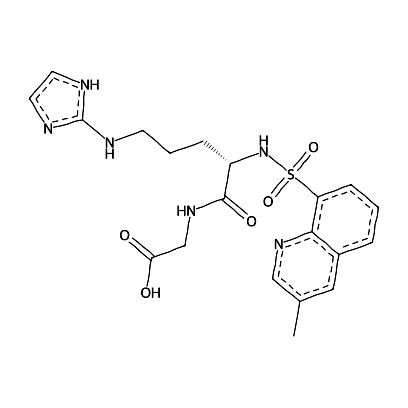 Cc1cnc2c(S(=O)(=O)N[C@@H](CCCNc3ncc[nH]3)C(=O)NCC(=O)O)cccc2c1